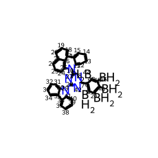 Bc1c(B)c(B)c(-c2nc(N3c4ccccc4-c4cccc5cccc3c45)nc(-n3c4ccccc4c4ccccc43)n2)c(B)c1B